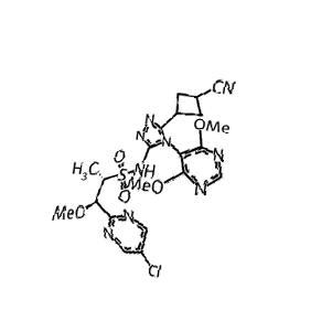 COc1ncnc(OC)c1-n1c(NS(=O)(=O)[C@@H](C)[C@H](OC)c2ncc(Cl)cn2)nnc1C1CC(C#N)C1